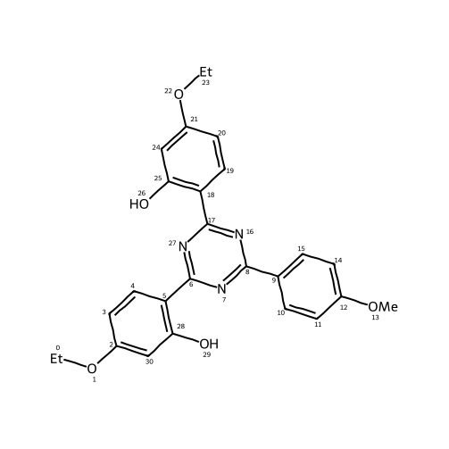 CCOc1ccc(-c2nc(-c3ccc(OC)cc3)nc(-c3ccc(OCC)cc3O)n2)c(O)c1